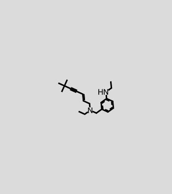 CCNc1cccc(CN(CC)C/C=C/C#CC(C)(C)C)c1